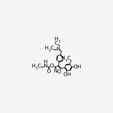 CCNC(=O)Oc1noc(-c2cc(CC)c(O)cc2O)c1-c1ccc(CN(CC)CC)cc1